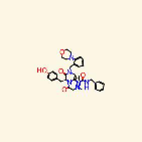 CN1CC(=O)N2[C@@H](Cc3ccc(O)cc3)C(=O)N(Cc3ccccc3N3CCOCC3)C[C@@H]2N1C(=O)NCc1ccccc1